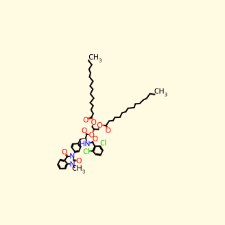 CCCCCCCCCCCCCCCC(=O)OCC(COC(=O)CCCCCCCCCCCCCCC)OC(=O)[C@H](Cc1ccc(-n2c(=O)c3ccccc3n(C)c2=O)cc1)NC(=O)c1c(Cl)cccc1Cl